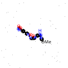 COC1CCN(c2n[nH]c3ccc(N4CCC5(CCN(CC(=O)N6CC=C(c7ccc(-c8nn(C)c(=O)o8)cc7)CC6)C5)C4=O)cc23)CC1